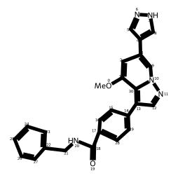 COc1cc(-c2cn[nH]c2)cn2ncc(-c3ccc(C(=O)NCc4ccccc4)cc3)c12